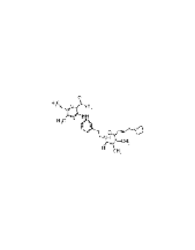 CCc1nc(C(N)=O)c(Nc2cccc(CCNC(=O)C(C)N(C)C(=O)/C=C/CN3CCC3)c2)nc1C